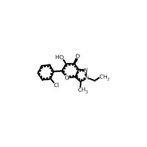 CCn1nc2c(=O)c(O)c(-c3ccccc3Cl)oc2c1C